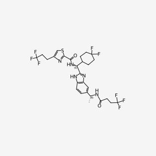 C[C@@H](NC(=O)CCC(F)(F)F)c1ccc2[nH]c([C@@H](NC(=O)c3nc(CCC(F)(F)F)cs3)C3CCC(F)(F)CC3)nc2c1